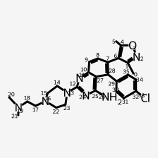 Cc1noc(C)c1-c1ccc2nc(N3CCN(CCN(C)C)CC3)nc(N)c2c1-c1ccc(Cl)cc1